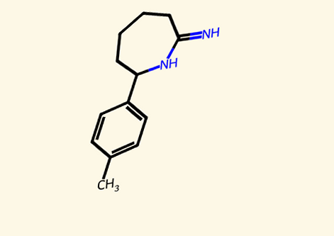 Cc1ccc(C2CCCCC(=N)N2)cc1